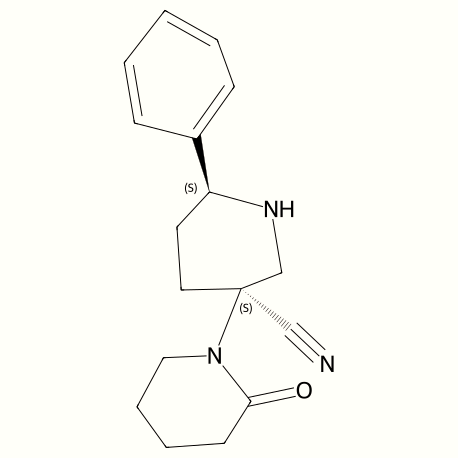 N#C[C@]1(N2CCCCC2=O)CC[C@@H](c2ccccc2)NC1